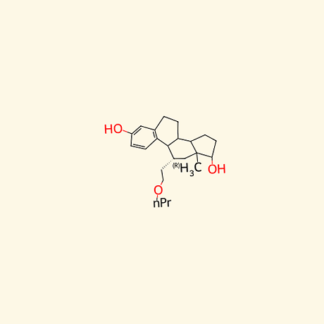 CCCOCC[C@H]1CC2(C)C(O)CCC2C2CCc3cc(O)ccc3C21